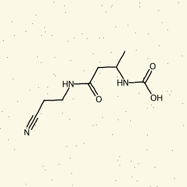 CC(CC(=O)NCCC#N)NC(=O)O